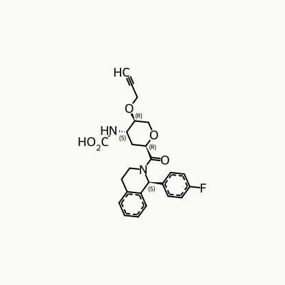 C#CCO[C@H]1CO[C@@H](C(=O)N2CCc3ccccc3[C@@H]2c2ccc(F)cc2)C[C@@H]1NC(=O)O